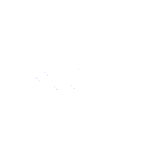 Cc1ccc(S(=O)(=O)n2c(C)cc3c(NN)nc(Cl)nc32)cc1